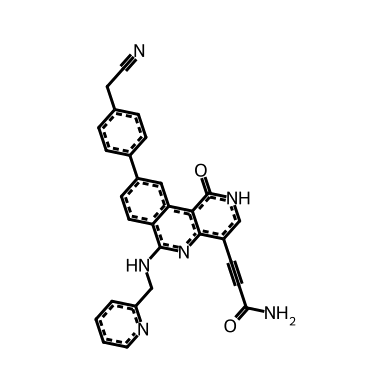 N#CCc1ccc(-c2ccc3c(NCc4ccccn4)nc4c(C#CC(N)=O)c[nH]c(=O)c4c3c2)cc1